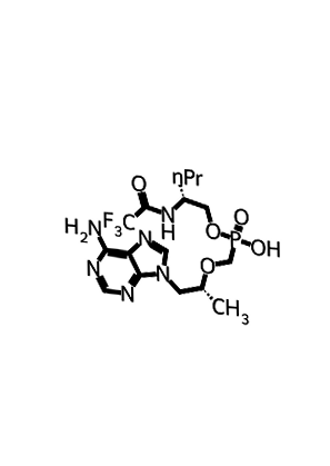 CCC[C@H](COP(=O)(O)CO[C@H](C)Cn1cnc2c(N)ncnc21)NC(=O)C(F)(F)F